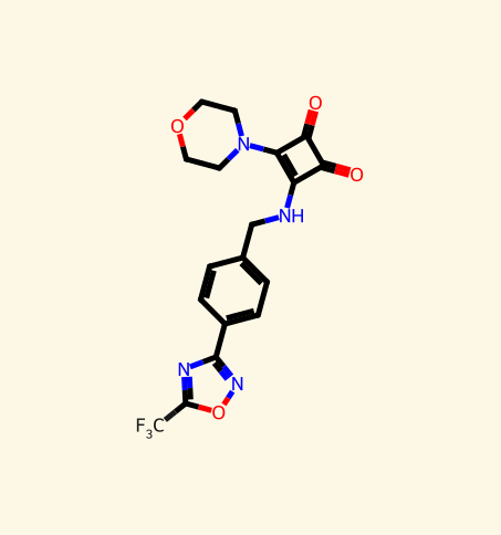 O=c1c(NCc2ccc(-c3noc(C(F)(F)F)n3)cc2)c(N2CCOCC2)c1=O